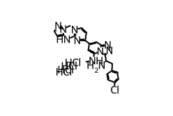 CNc1cc(-c2ccnc(Nc3ccnn3C)n2)cc2nnc([C@H](N)Cc3ccc(Cl)cc3)n12.Cl.Cl.Cl.Cl